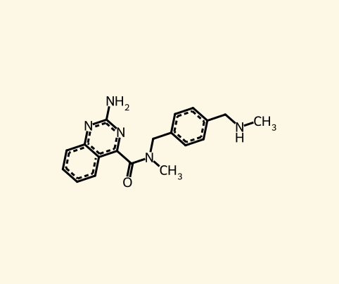 CNCc1ccc(CN(C)C(=O)c2nc(N)nc3ccccc23)cc1